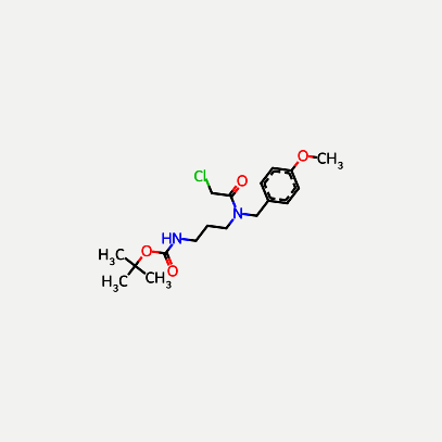 COc1ccc(CN(CCCNC(=O)OC(C)(C)C)C(=O)CCl)cc1